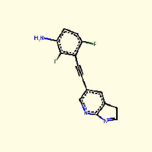 Nc1ccc(F)c(C#Cc2cnc3c(c2)CC=N3)c1F